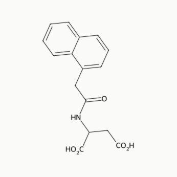 O=C(O)CC(NC(=O)Cc1cccc2ccccc12)C(=O)O